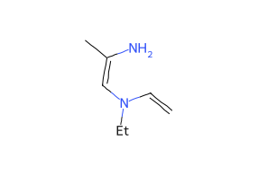 C=CN(/C=C(/C)N)CC